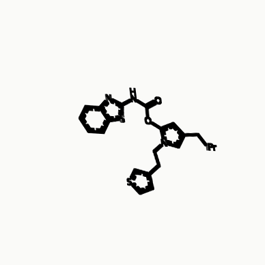 CC(C)Cc1cc(OC(=O)Nc2nc3ccccc3s2)n(CCc2ccsc2)c1